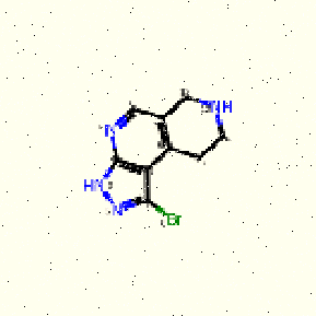 Brc1n[nH]c2ncc3c(c12)CCNC3